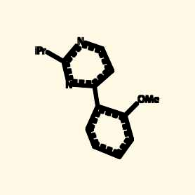 COc1ccccc1-c1ccnc(C(C)C)n1